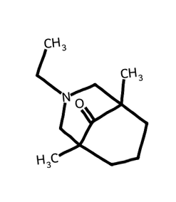 CCN1CC2(C)CCCC(C)(C1)C2=O